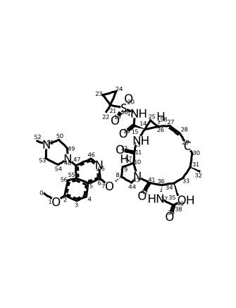 COc1ccc2c(O[C@@H]3C[C@H]4C(=O)N[C@]5(C(=O)NS(=O)(=O)C6(C)CC6)C[C@H]5/C=C\CC[C@@H](C)C[C@@H](C)[C@H](NC(=O)O)C(=O)N4C3)ncc(N3CCN(C)CC3)c2c1